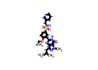 CCOc1ccc(S(=O)(=O)NCc2cccnc2)cc1-c1nc2c(CC(C)C)nn(C)c2c(=O)[nH]1